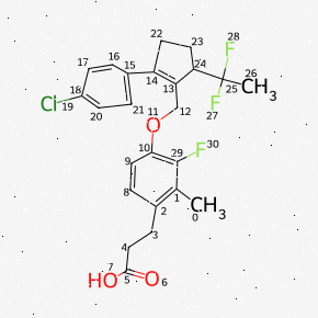 Cc1c(CCC(=O)O)ccc(OCC2=C(c3ccc(Cl)cc3)CCC2C(C)(F)F)c1F